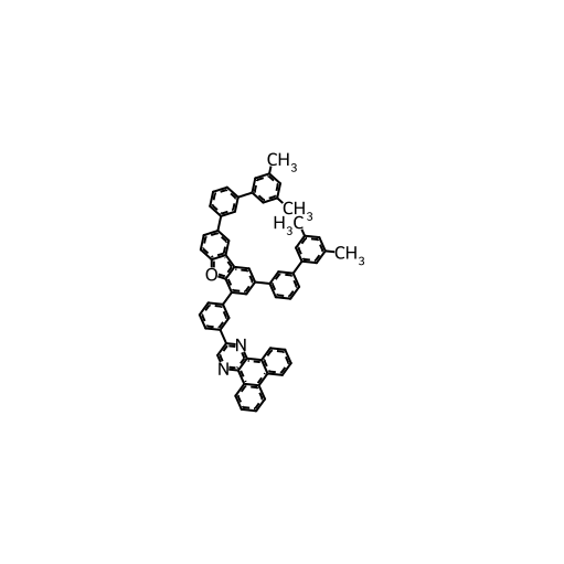 Cc1cc(C)cc(-c2cccc(-c3ccc4oc5c(-c6cccc(-c7cnc8c9ccccc9c9ccccc9c8n7)c6)cc(-c6cccc(-c7cc(C)cc(C)c7)c6)cc5c4c3)c2)c1